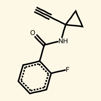 C#CC1(NC(=O)c2ccccc2F)CC1